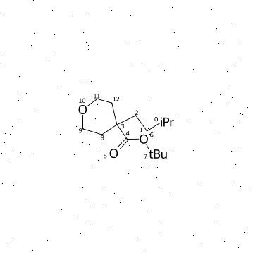 CC(C)CCC1(C(=O)OC(C)(C)C)CCOCC1